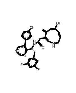 C=C1/C=C(O)\C=C/CN/C=C\1CC(=O)N[C@H](Cc1cc(F)cc(F)c1)c1ncncc1-c1ccc(Cl)cc1